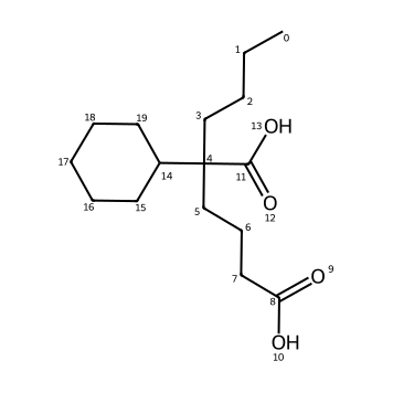 CCCCC(CCCC(=O)O)(C(=O)O)C1CCCCC1